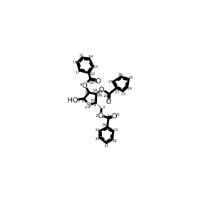 O=C(OC[C@@H]1SC(O)C(OC(=O)c2ccccc2)[C@H]1OC(=O)c1ccccc1)c1ccccc1